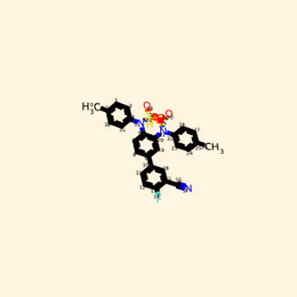 Cc1ccc(N(c2ccc(-c3ccc(F)c(C#N)c3)cc2N(c2ccc(C)cc2)[SH](=O)=O)[SH](=O)=O)cc1